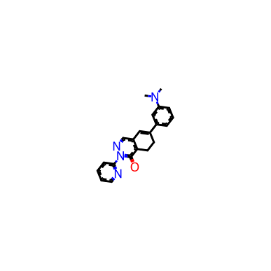 CN(C)c1cccc(C2=Cc3cnn(-c4ccccn4)c(=O)c3CC2)c1